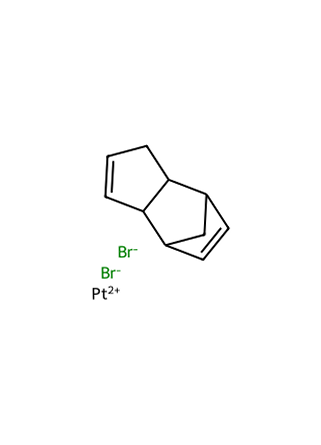 C1=CC2C3C=CC(C3)C2C1.[Br-].[Br-].[Pt+2]